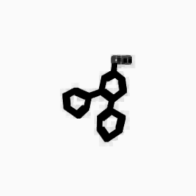 O=Cc1ccc(-c2ccccc2)c(-c2ccccc2)c1